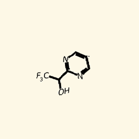 OC(c1nc[c]cn1)C(F)(F)F